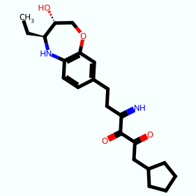 CC[C@@H]1Nc2ccc(CCC(=N)C(=O)C(=O)CC3CCCC3)cc2OC[C@H]1O